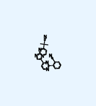 CC(C)(C#N)c1ccn2c(-c3ccnc(-c4ccccc4C#N)n3)cnc2n1